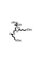 CCCCCCCCCCCCCC(=O)OCC(COP(=O)(O)OCCC)OC(=O)CCCCCCCCCCCCC